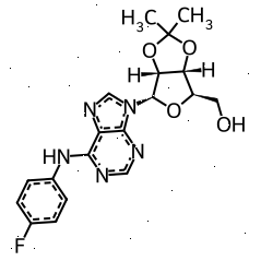 CC1(C)O[C@@H]2[C@H](O1)[C@@H](CO)O[C@H]2n1cnc2c(Nc3ccc(F)cc3)ncnc21